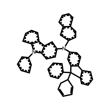 C1=CCC(C2(c3ccccc3)c3ccccc3-c3ccc(N(c4ccc5ccccc5c4)c4ccc5c(c4)c4ccccc4n5-c4ccccc4)cc32)C=C1